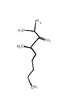 C=C(C(C)C)C(C)CCCCC